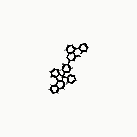 C1=C2Sc3ccccc3-c3cccc(c32)CC1c1ccc(C2(c3ccccc3)c3ccccc3-c3c2ccc2ccccc32)cc1